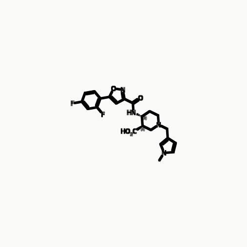 Cn1ccc(CN2CC[C@@H](NC(=O)c3cc(-c4ccc(F)cc4F)on3)[C@H](C(=O)O)C2)c1